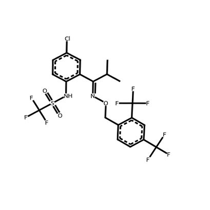 CC(C)/C(=N\OCc1ccc(C(F)(F)F)cc1C(F)(F)F)c1cc(Cl)ccc1NS(=O)(=O)C(F)(F)F